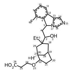 CCC1(C(O)CC2c3c(F)cccc3-c3cncn32)CC2CCC(OCCC(=O)O)[C@H](C2)C1